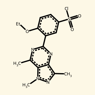 CCOc1ccc(S(=O)(=O)Cl)cc1-c1nc(C)c2c(n1)c(C)nn2C